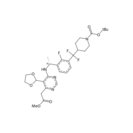 COC(=O)Cc1ncnc(N[C@H](C)c2cccc(C(F)(F)C3CCN(C(=O)OC(C)(C)C)CC3)c2F)c1C1OCCO1